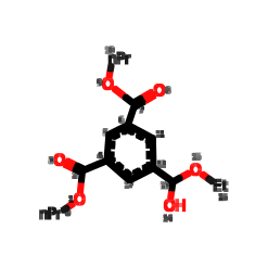 CCCOC(=O)c1cc(C(=O)OCCC)cc(C(O)OCC)c1